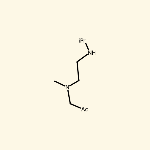 CC(=O)CN(C)CCNC(C)C